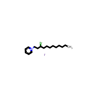 CCCCCCCCCC(Br)CC[n+]1ccccc1.[I-]